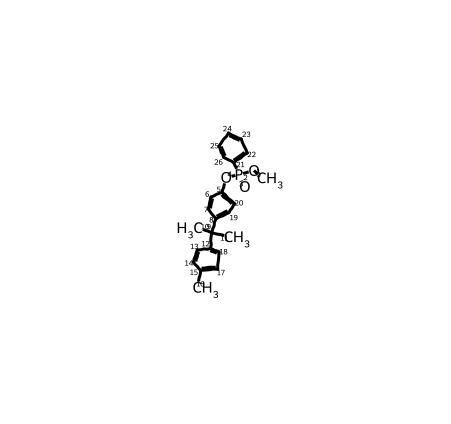 COP(=O)(Oc1ccc(C(C)(C)c2ccc(C)cc2)cc1)c1ccccc1